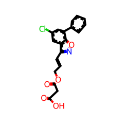 O=C(O)CC(=O)OCC=Cc1noc2c(-c3ccccc3)cc(Cl)cc12